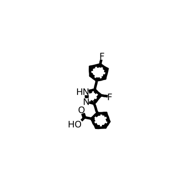 O=C(O)c1ccccc1-c1n[nH]c(-c2ccc(F)cc2)c1F